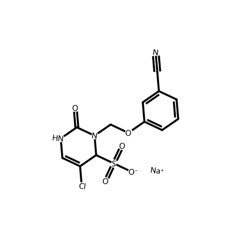 N#Cc1cccc(OCN2C(=O)NC=C(Cl)C2S(=O)(=O)[O-])c1.[Na+]